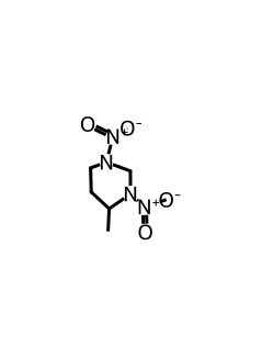 CC1CCN([N+](=O)[O-])CN1[N+](=O)[O-]